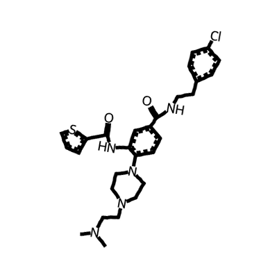 CN(C)CCN1CCN(c2ccc(C(=O)NCCc3ccc(Cl)cc3)cc2NC(=O)c2cccs2)CC1